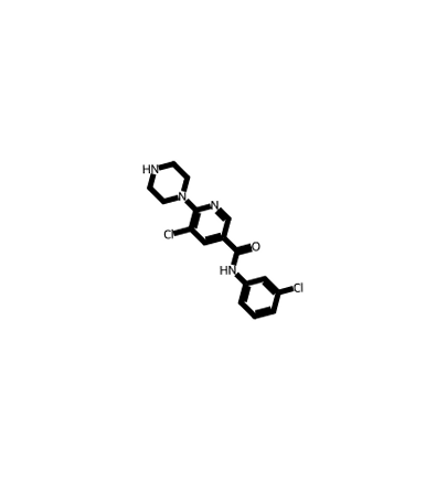 O=C(Nc1cccc(Cl)c1)c1cnc(N2CCNCC2)c(Cl)c1